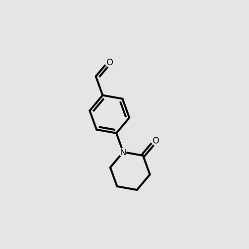 O=Cc1ccc(N2CCCCC2=O)cc1